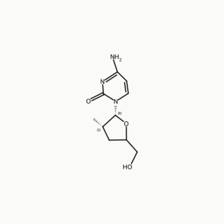 C[C@H]1CC(CO)O[C@H]1n1ccc(N)nc1=O